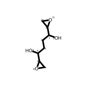 OC(CCC(O)C1CO1)C1CO1